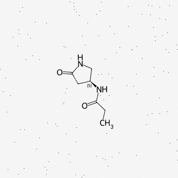 CCC(=O)N[C@@H]1CNC(=O)C1